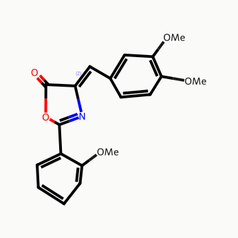 COc1ccc(/C=C2\N=C(c3ccccc3OC)OC2=O)cc1OC